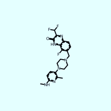 CNc1ccc(N2CCN(Cc3ccc4nc(C(F)F)c(=O)[nH]c4c3F)CC2)c(C)n1